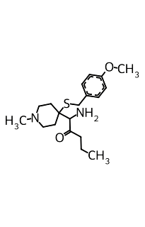 CCCC(=O)C(N)C1(SCc2ccc(OC)cc2)CCN(C)CC1